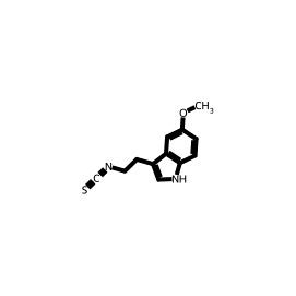 COc1ccc2[nH]cc(CCN=C=S)c2c1